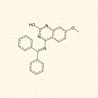 COc1ccc2c(N=C(c3ccccc3)c3ccccc3)nc(O)nc2c1